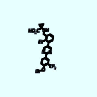 CCc1c(CNC2(C(=O)O)CC2)cccc1-c1cnc(-c2ccc(OC(C)C)c(C(F)(F)F)c2)nc1